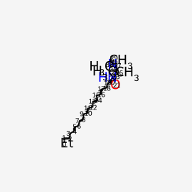 CCC=CCC=CCC=CCC=CCC=CCC=CCCC(=O)NCC(C)(C)CN(C)C